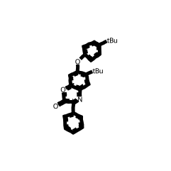 CC(C)(C)c1ccc(Oc2cc3oc(=O)c(-c4ccccc4)nc3cc2C(C)(C)C)cc1